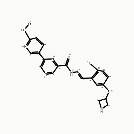 CCOc1ccc(-c2cncc(C(=O)N/N=C/c3cc(OC4CNC4)ccc3F)n2)cn1